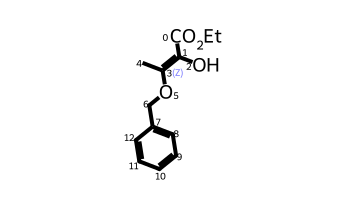 CCOC(=O)/C(O)=C(\C)OCc1ccccc1